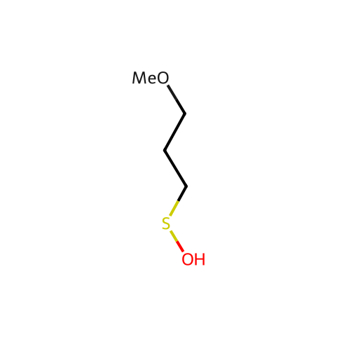 COCCCSO